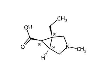 CC[C@@]12CN(C)C[C@H]1[C@H]2C(=O)O